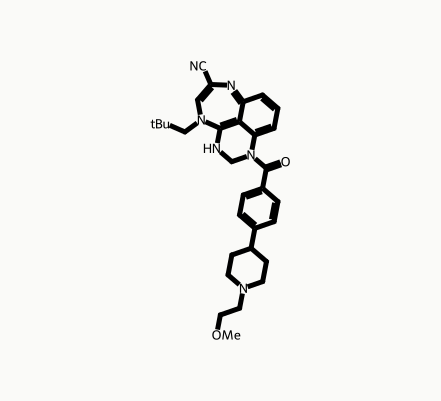 COCCN1CCC(c2ccc(C(=O)N3CNC4=c5c3cccc5=NC(C#N)=CN4CC(C)(C)C)cc2)CC1